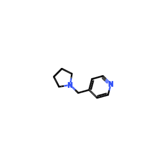 c1cc(CN2CCCC2)ccn1